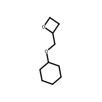 C1CCC(OCC2CCO2)CC1